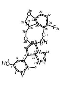 Cc1ncc(O)cc1-c1cc2c(n3cnnc13)NCc1c(F)ccc3c1[C@H](CO3)CO2